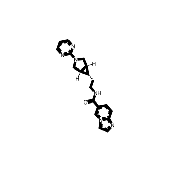 O=C(NCC[C@@H]1[C@H]2CN(c3ncccn3)C[C@@H]12)c1ccc2nccn2c1